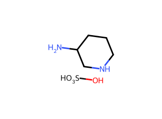 NC1CCCNC1.O=S(=O)(O)O